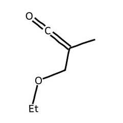 [CH2]COCC(C)=C=O